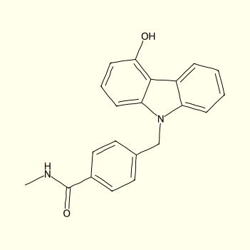 CNC(=O)c1ccc(Cn2c3ccccc3c3c(O)cccc32)cc1